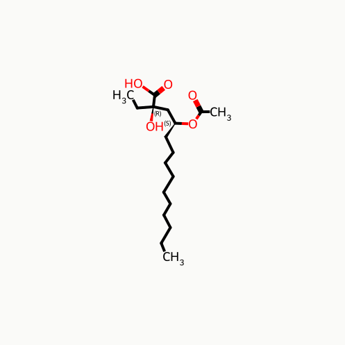 CCCCCCCCCC[C@@H](C[C@](O)(CC)C(=O)O)OC(C)=O